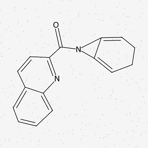 O=C(c1ccc2ccccc2n1)N1C2=CCCC=C21